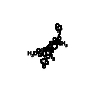 CC(=O)O[C@H]1[C@H]2O[C@]23[C@@H]2CC[C@]4(O)C[C@@H](N(C)C(=O)OCCN5CCOCC5)CC[C@]4(C)[C@H]2CC[C@]3(C)[C@H]1c1ccc(=O)oc1